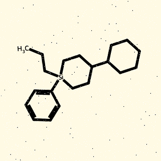 CCC[Si]1(c2ccccc2)CCC(C2CCCCC2)CC1